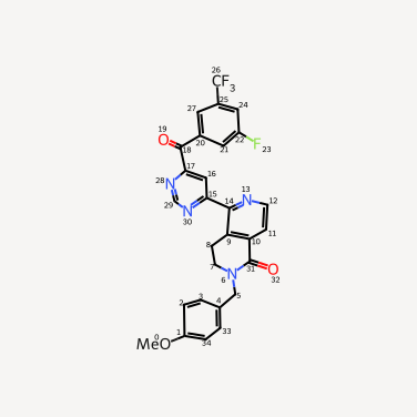 COc1ccc(CN2CCc3c(ccnc3-c3cc(C(=O)c4cc(F)cc(C(F)(F)F)c4)ncn3)C2=O)cc1